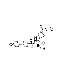 COc1ccc(-c2ccc(S(=O)(=O)CNC(C(=O)NO)C3CCN(C(=O)N4CCOCC4)CC3)cc2)cc1